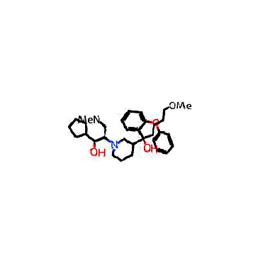 CNC[C@H]([C@@H](O)C1CCCC1)N1CCCC([C@@](O)(CCCCOC)c2ccccc2Oc2ccccc2)C1